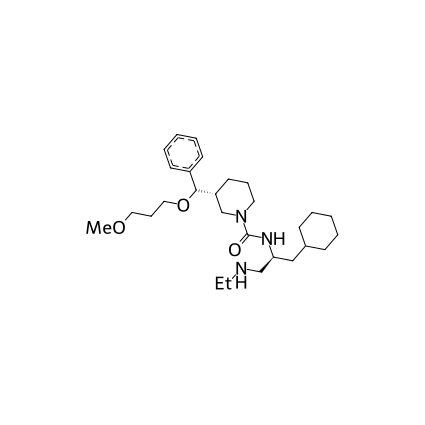 CCNC[C@H](CC1CCCCC1)NC(=O)N1CCC[C@@H](C(OCCCOC)c2ccccc2)C1